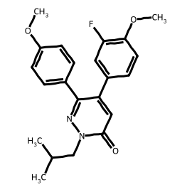 COc1ccc(-c2nn(CC(C)C)c(=O)cc2-c2ccc(OC)c(F)c2)cc1